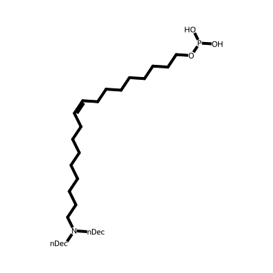 CCCCCCCCCCN(CCCCCCCC/C=C\CCCCCCCCOP(O)O)CCCCCCCCCC